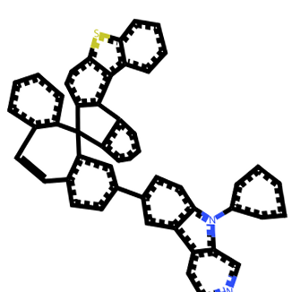 C1=Cc2ccc(-c3ccc4c(c3)c3ccncc3n4-c3ccccc3)cc2C2(c3ccccc31)c1ccccc1-c1c2ccc2sc3ccccc3c12